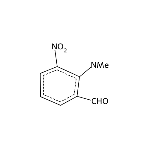 CNc1c(C=O)cccc1[N+](=O)[O-]